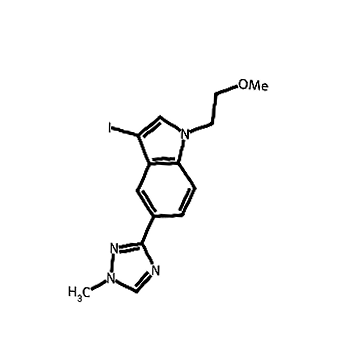 COCCn1cc(I)c2cc(-c3ncn(C)n3)ccc21